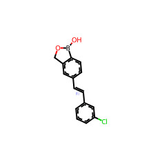 OB1OCc2cc(/C=C/c3cccc(Cl)c3)ccc21